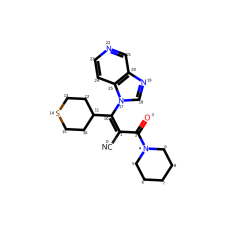 N#CC(C(=O)N1CCCCC1)=C(C1CCSCC1)n1cnc2cnccc21